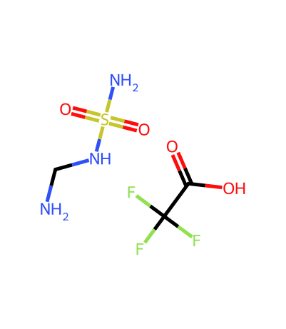 NCNS(N)(=O)=O.O=C(O)C(F)(F)F